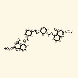 O=C(O)c1cc(=O)c2c(OCc3cccc(N=Nc4cccc(COc5cccc6oc(C(=O)O)cc(=O)c56)c4)c3)cccc2o1